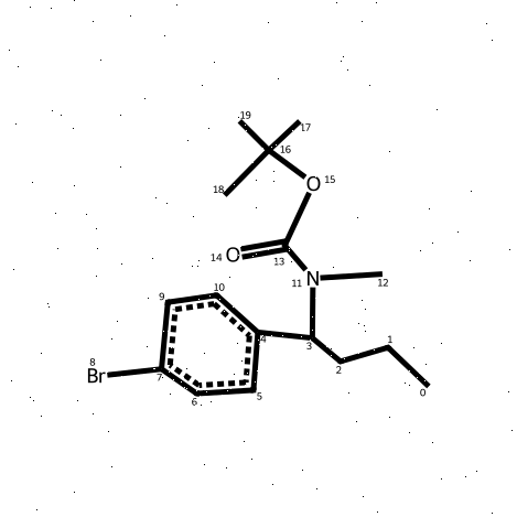 CCCC(c1ccc(Br)cc1)N(C)C(=O)OC(C)(C)C